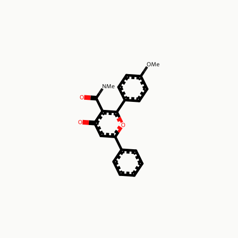 CNC(=O)c1c(-c2ccc(OC)cc2)oc(-c2ccccc2)cc1=O